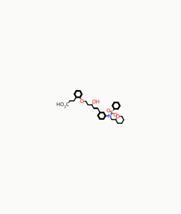 O=C(O)CCc1ccccc1OCC[C@@H](O)/C=C/c1cccc(N(CC2CCCCO2)S(=O)(=O)c2ccccc2)c1